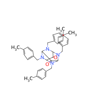 Cc1ccc(CN2C3C(=O)C4N(Cc5ccc(C)cc5)C2C(=O)C(N3Cc2ccc(C)cc2)N4Cc2ccc(C)cc2)cc1